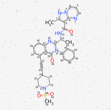 Cc1nn2cccnc2c1C(=O)NC(C)c1nc2cccc(C#CC3CCN(S(C)(=O)=O)CC3)c2c(=O)n1-c1ccccc1